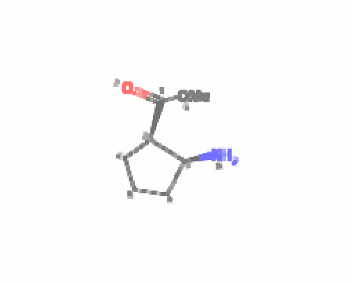 COC(=O)[C@@H]1CCC[C@@H]1N